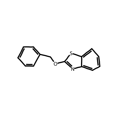 c1ccc(COc2nc3ccccc3s2)cc1